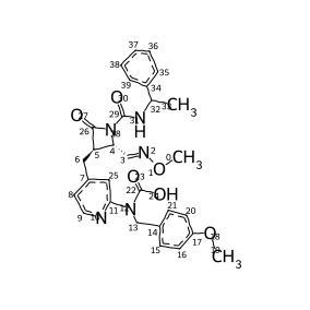 CON=C[C@@H]1[C@@H](Cc2ccnc(N(Cc3ccc(OC)cc3)C(=O)O)c2)C(=O)N1C(=O)NC(C)c1ccccc1